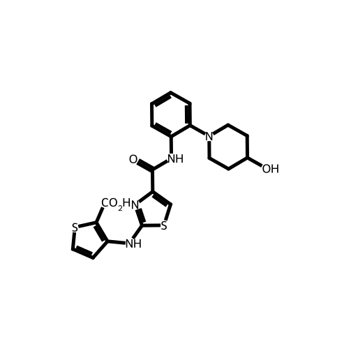 O=C(Nc1ccccc1N1CCC(O)CC1)c1csc(Nc2ccsc2C(=O)O)n1